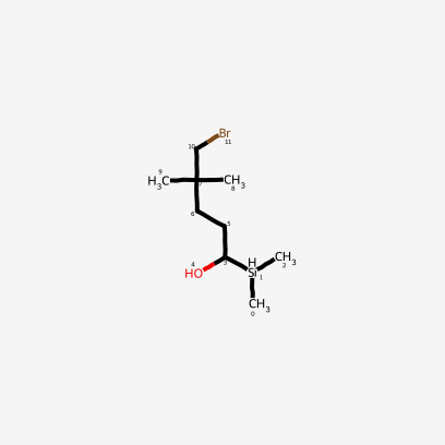 C[SiH](C)C(O)CCC(C)(C)CBr